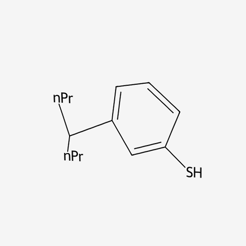 CCCC(CCC)c1cccc(S)c1